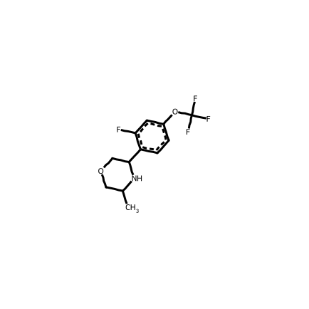 CC1COCC(c2ccc(OC(F)(F)F)cc2F)N1